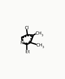 CCc1ncc(Cl)c(C)c1C